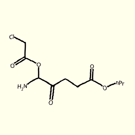 CCCOC(=O)CCC(=O)C(N)OC(=O)CCl